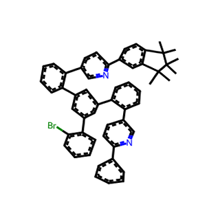 CC1(C)c2ccc(-c3ccc(-c4ccccc4-c4cc(-c5ccccc5Br)cc(-c5ccccc5-c5ccc(-c6ccccc6)nc5)c4)cn3)cc2C(C)(C)C1(C)C